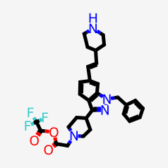 O=C(CN1CCC(c2nn(Cc3ccccc3)c3cc(C=CC4CCNCC4)ccc23)CC1)OC(=O)C(F)(F)F